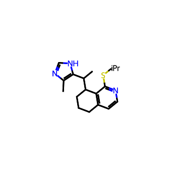 Cc1nc[nH]c1C(C)C1CCCc2ccnc(SC(C)C)c21